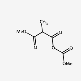 COC(=O)OC(=O)C(C)C(=O)OC